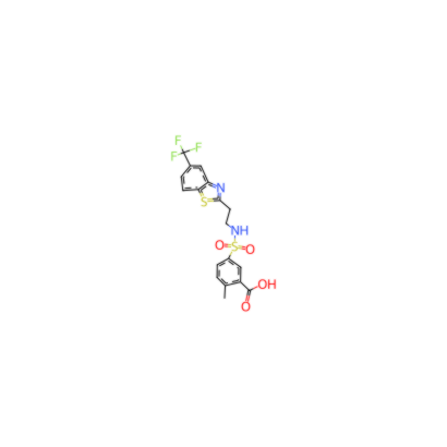 Cc1ccc(S(=O)(=O)NCCc2nc3cc(C(F)(F)F)ccc3s2)cc1C(=O)O